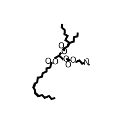 CCCCC/C=C\C/C=C\CCCCCCCC(=O)OCC(COC(=O)/C=C(/CCCC)CCCCCC)COC(=O)OCCCN(C)C